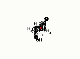 CSCCCN(CCc1ccccc1)C(=O)[C@H](Cc1ccccc1)N(C)C(=O)CNC(=O)[C@@H](C)NC(=O)[C@@H](N)Cc1ccc(O)cc1